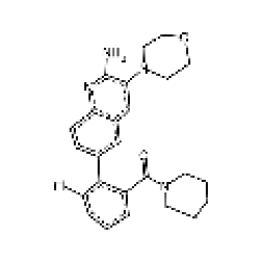 Nc1nc2ccc(-c3c(Cl)cccc3C(=O)N3CCCCC3)cc2cc1N1CCOCC1